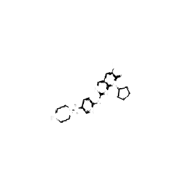 CCc1cc2cnc(Nc3ccc(S(=O)(=O)N4CCNCC4)cn3)nc2n(C2CCCC2)c1=O